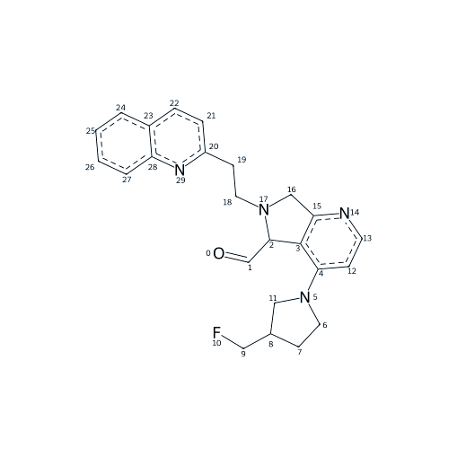 O=CC1c2c(N3CCC(CF)C3)ccnc2CN1CCc1ccc2ccccc2n1